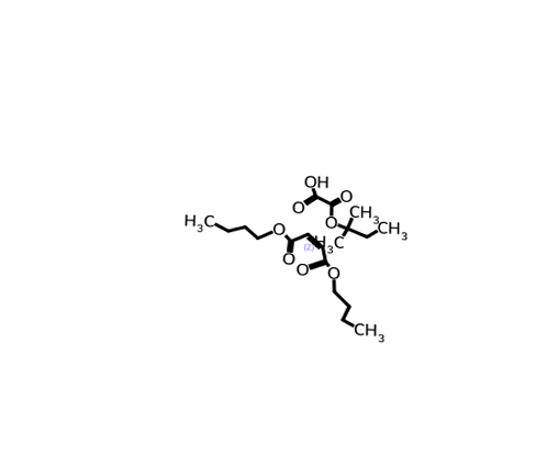 CCC(C)(C)OC(=O)C(=O)O.CCCCOC(=O)/C=C\C(=O)OCCCC